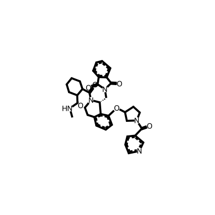 CNC(=O)C1CCCCC1C(=O)N1CCc2cccc(OC3CCN(C(=O)c4cccnc4)C3)c2[C@H]1CN1C(=O)c2ccccc2C1=O